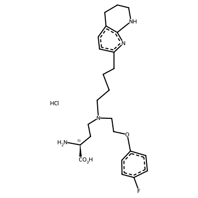 Cl.N[C@@H](CCN(CCCCc1ccc2c(n1)NCCC2)CCOc1ccc(F)cc1)C(=O)O